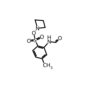 Cc1ccc(S(=O)(=O)ON2CCC2)c(NC=O)c1